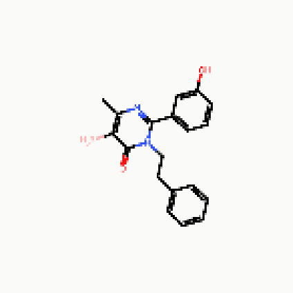 Bc1c(C)nc(-c2cccc(O)c2)n(CCc2ccccc2)c1=O